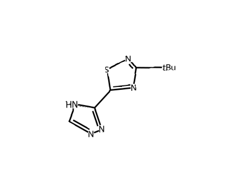 CC(C)(C)c1nsc(-c2nnc[nH]2)n1